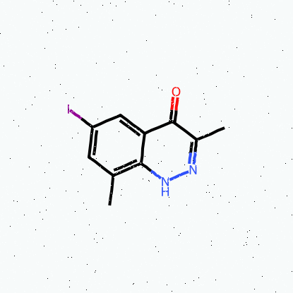 Cc1n[nH]c2c(C)cc(I)cc2c1=O